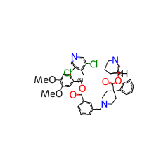 COc1ccc([C@H](Cc2c(Cl)cncc2Cl)OC(=O)c2cccc(CN3CCC(C(=O)O[C@H]4CN5CCC4CC5)(c4ccccc4)CC3)c2)cc1OC